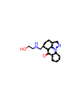 O=c1c2ccccc2n2ncc3ccc(CNCCO)c1c32